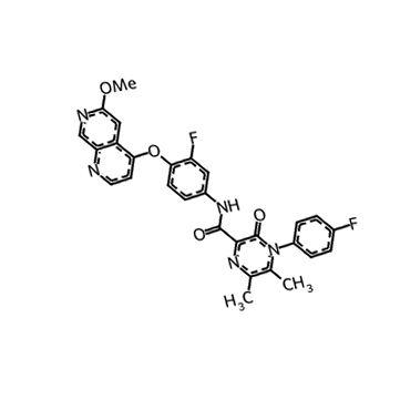 COc1cc2c(Oc3ccc(NC(=O)c4nc(C)c(C)n(-c5ccc(F)cc5)c4=O)cc3F)ccnc2cn1